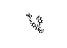 CS(=O)(=O)OCCCOc1ccc([C@H]2CCN(C(=O)O)C[C@@H]2OCc2ccc3cccnc3c2)cc1